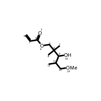 C=CC(=O)OCC(C)(C)C(O)C(C)COC